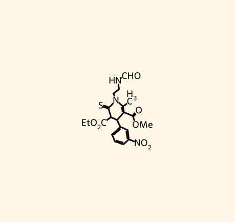 CCOC(=O)C1C(=S)N(CCNC=O)C(C)=C(C(=O)OC)C1c1cccc([N+](=O)[O-])c1